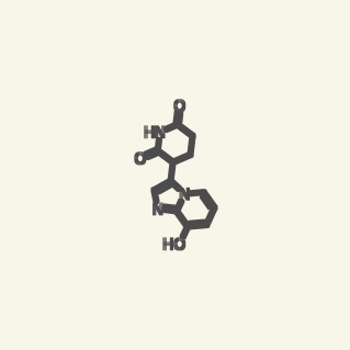 O=C1CCC(c2cnc3c(O)cccn23)C(=O)N1